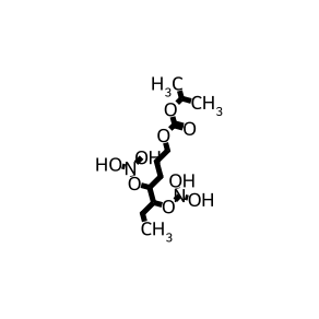 CCC(ON(O)O)C(CCCOC(=O)OC(C)C)ON(O)O